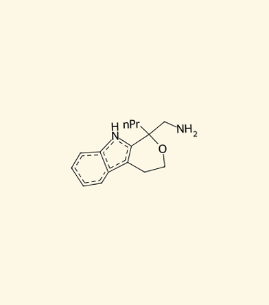 CCCC1(CN)OCCc2c1[nH]c1ccccc21